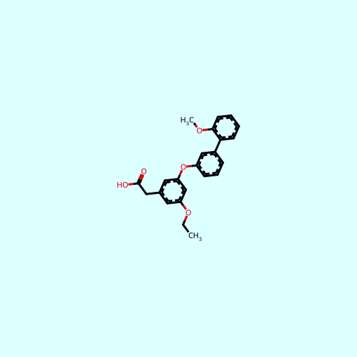 CCOc1cc(CC(=O)O)cc(Oc2cccc(-c3ccccc3OC)c2)c1